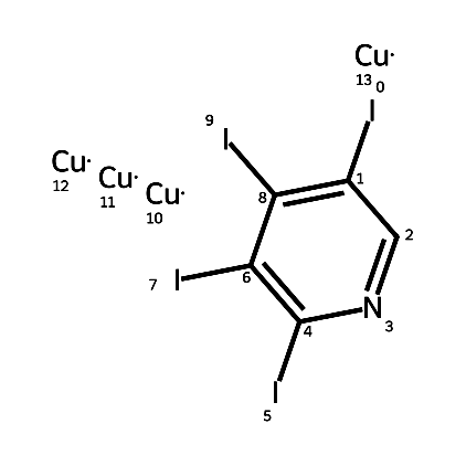 Ic1cnc(I)c(I)c1I.[Cu].[Cu].[Cu].[Cu]